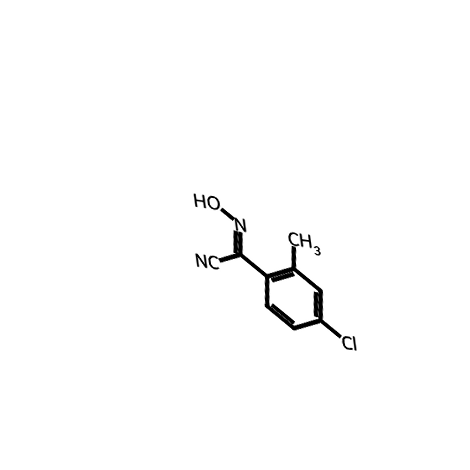 Cc1cc(Cl)ccc1C(C#N)=NO